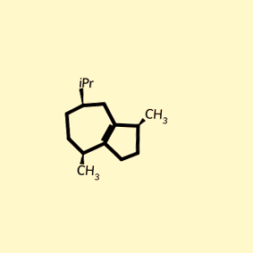 CC(C)[C@@H]1CC[C@H](C)C2=C(C1)[C@@H](C)CC2